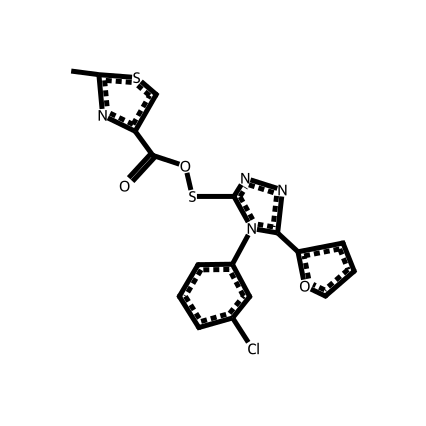 Cc1nc(C(=O)OSc2nnc(-c3ccco3)n2-c2cccc(Cl)c2)cs1